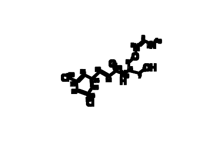 C=N/C=N\OCC(CO)NC(=O)/C=C/c1cc(Cl)cc(Cl)c1